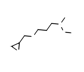 CCO[SiH](C)CCCOCC1CO1